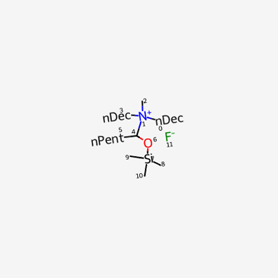 CCCCCCCCCC[N+](C)(CCCCCCCCCC)C(CCCCC)O[Si](C)(C)C.[F-]